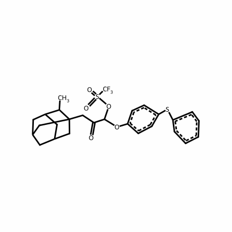 CC1C2CC3CC(C2)CC1(CC(=O)C(Oc1ccc(Sc2ccccc2)cc1)OS(=O)(=O)C(F)(F)F)C3